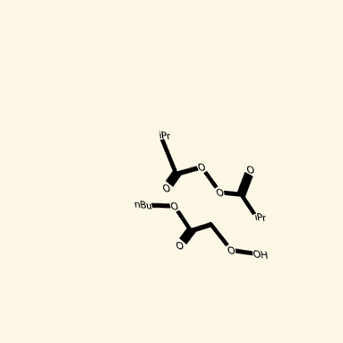 CC(C)C(=O)OOC(=O)C(C)C.CCCCOC(=O)COO